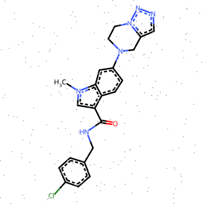 Cn1cc(C(=O)NCc2ccc(Cl)cc2)c2ccc(N3CCn4nncc4C3)cc21